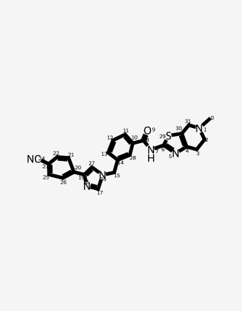 CN1CCc2nc(NC(=O)c3cccc(Cn4cnc(-c5ccc(C#N)cc5)c4)c3)sc2C1